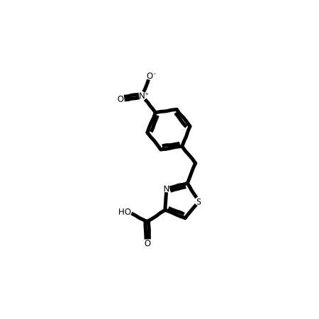 O=C(O)c1csc(Cc2ccc([N+](=O)[O-])cc2)n1